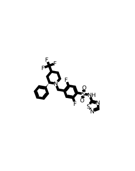 O=S(=O)(Nc1ncns1)c1cc(F)c(CN2CCC(C(F)(F)F)C[C@H]2c2ccccc2)cc1F